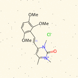 COc1ccc(OC)c(OC)c1/C=C/c1cc(C)[n+](C)c(=O)n1C.[Cl-]